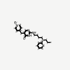 CCCN(CCCCNc1ncc(Cc2cc[n+]([O-])cc2)c(=O)[nH]1)c1ccccn1